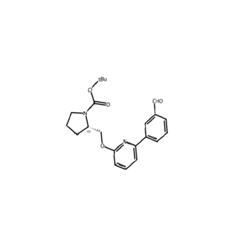 CC(C)(C)OC(=O)N1CCC[C@H]1COc1cccc(-c2cccc(C=O)c2)n1